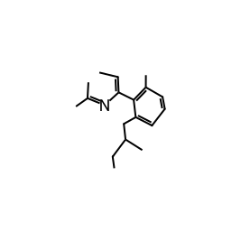 C/C=C(\N=C(C)C)c1c(C)cccc1CC(C)CC